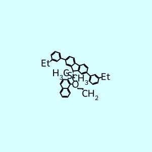 C=CCOc1c([Si](C)(C)C2c3cc(-c4cccc(CC)c4)ccc3-c3ccc(-c4cccc(CC)c4)cc32)ccc2ccccc12